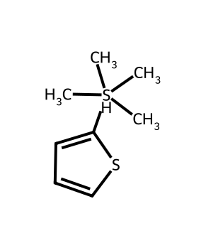 C[SH](C)(C)(C)c1cccs1